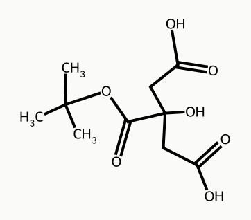 CC(C)(C)OC(=O)C(O)(CC(=O)O)CC(=O)O